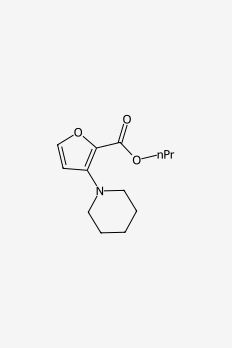 CCCOC(=O)c1occc1N1CCCCC1